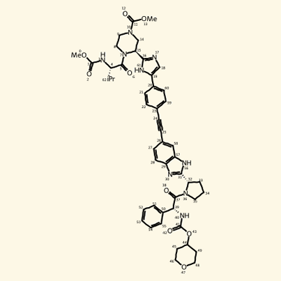 COC(=O)N[C@H](C(=O)N1CCN(C(=O)OC)C[C@H]1c1ncc(-c2ccc(C#Cc3ccc4nc([C@@H]5CCCN5C(=O)[C@H](NC(=O)OC5CCOCC5)c5ccccc5)[nH]c4c3)cc2)[nH]1)C(C)C